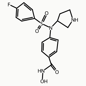 O=C(NO)c1ccc(N(C2CCNC2)S(=O)(=O)c2ccc(F)cc2)cc1